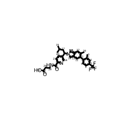 Cc1cc(C(F)(F)F)ccc1-c1cc2cn(C(CC(C)C)c3ccc(C(=O)NCCC(=O)O)nc3)nc2cc1C